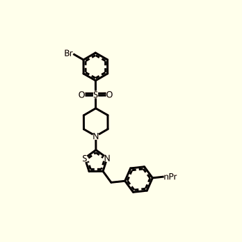 CCCc1ccc(Cc2csc(N3CCC(S(=O)(=O)c4cccc(Br)c4)CC3)n2)cc1